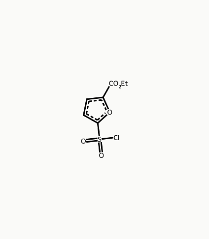 CCOC(=O)c1ccc(S(=O)(=O)Cl)o1